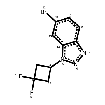 FC1(F)CC(n2nnc3ccc(Br)cc32)C1